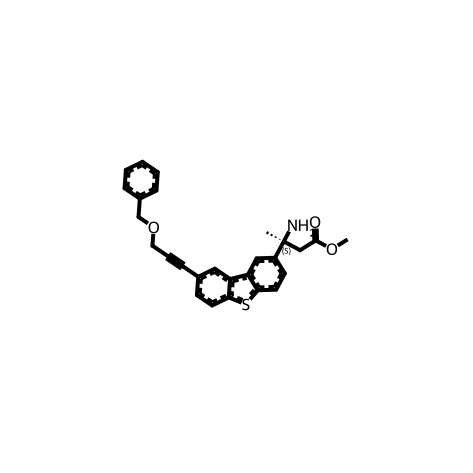 COC(=O)C[C@](C)(N)c1ccc2sc3ccc(C#CCOCc4ccccc4)cc3c2c1